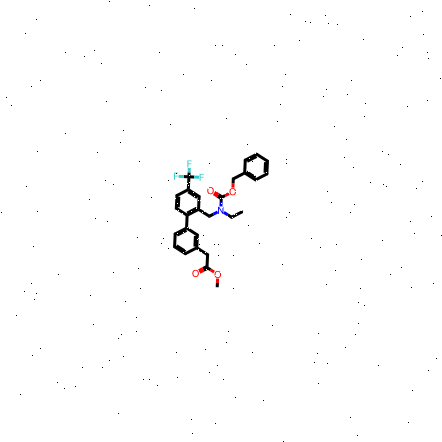 CCN(Cc1cc(C(F)(F)F)ccc1-c1cccc(CC(=O)OC)c1)C(=O)OCc1ccccc1